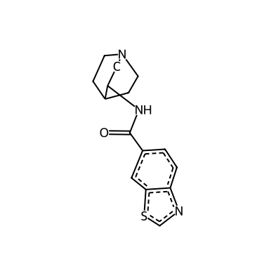 O=C(NC1CN2CCC1CC2)c1ccc2ncsc2c1